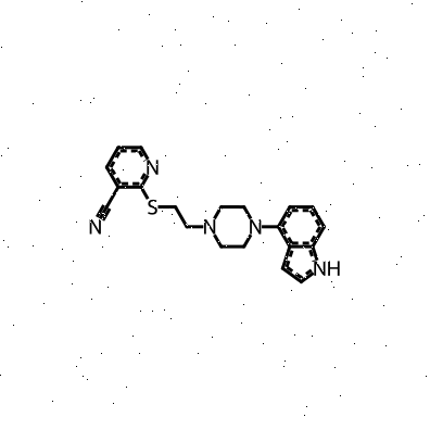 N#Cc1cccnc1SCCN1CCN(c2cccc3[nH]ccc23)CC1